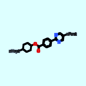 CCCCCCCC1CCC(OC(=O)c2ccc(-c3ncc(CCCCC)cn3)cc2)CC1